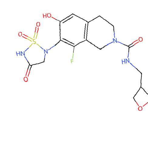 O=C1CN(c2c(O)cc3c(c2F)CN(C(=O)NCC2COC2)CC3)S(=O)(=O)N1